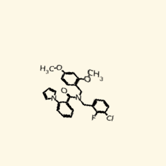 COc1ccc(CN(Cc2cccc(Cl)c2F)C(=O)c2ccccc2-n2cccc2)c(OC)c1